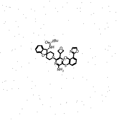 CC(C)(C)[S+]([O-])N[C@@H]1c2ccccc2OC12CCN(c1nc(N)c(Sc3cccc(-c4ncco4)c3Cl)nc1C1COC1)CC2